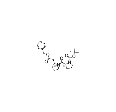 CC(C)(C)OC(=O)N1CCC[C@H]1C(=O)N1CCC[C@H]1CC(=O)OCc1ccccc1